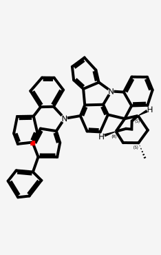 C[C@@H]1C[C@H]2CCC[C@@H](C1)C21c2ccccc2-n2c3ccccc3c3c(N(c4ccc(-c5ccccc5)cc4)c4ccccc4-c4ccccc4)ccc1c32